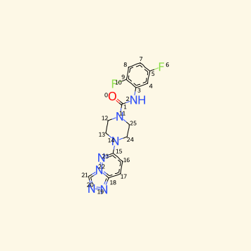 O=C(Nc1cc(F)ccc1F)N1CCN(c2ccc3nncn3n2)CC1